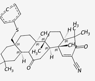 CC1(C)CC[C@]2(CSc3ccccc3)CC[C@]3(C)C(C(=O)C[C@@H]4[C@@]5(C)C=C(C#N)C(=O)C(C)(C)[C@@H]5CC[C@]43C)[C@H]2C1